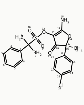 BC(B)(c1ccccc1)S(=O)(=O)OC1=C(N)O[C@@](B)(c2ccc(Cl)cc2)C1=O